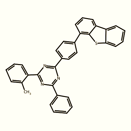 Cc1ccccc1-c1nc(-c2ccccc2)nc(-c2ccc(-c3cccc4c3sc3ccccc34)cc2)n1